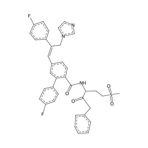 CS(=O)(=O)CCC(NC(=O)c1ccc(C=C(Cn2ccnc2)c2ccc(F)cc2)cc1-c1ccc(F)cc1)C(=O)Cc1ccccc1